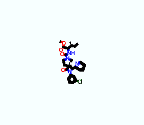 CC[C@H](C)C(NC(=O)N1CCC2(CC1)C(=O)N(c1cccc(Cl)c1)C2c1ccccn1)C(=O)OC